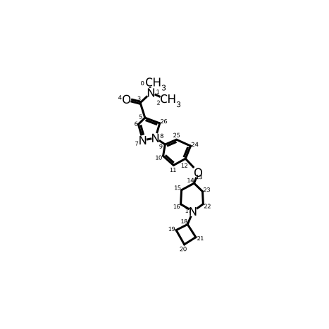 CN(C)C(=O)c1cnn(-c2ccc(OC3CCN(C4CCC4)CC3)cc2)c1